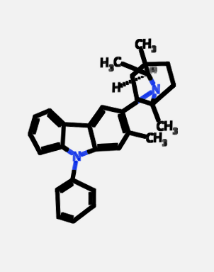 Cc1cc2c(cc1N1[C@@H](C)C3(C)CCC1(C)CC3)c1ccccc1n2-c1ccccc1